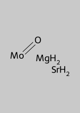 [MgH2].[O]=[Mo].[SrH2]